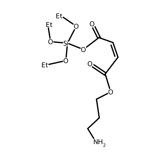 CCO[Si](OCC)(OCC)OC(=O)/C=C\C(=O)OCCCN